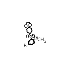 COc1ccc(Br)cc1S(=O)(=O)C1CCC2(CC1)OCCO2